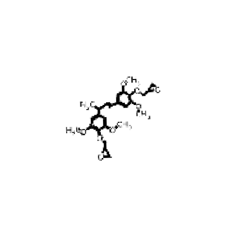 COc1cc(/C=C/C(C)c2cc(OC)c(OCC3CO3)c(OC)c2)cc(OC)c1OCC1CO1